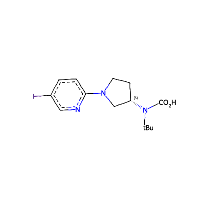 CC(C)(C)N(C(=O)O)[C@H]1CCN(c2ccc(I)cn2)C1